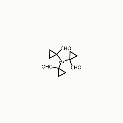 O=CC1([As](C2(C=O)CC2)C2(C=O)CC2)CC1